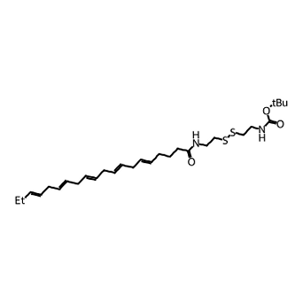 CCC=CCC=CCC=CCC=CCC=CCCCC(=O)NCCSSCCNC(=O)OC(C)(C)C